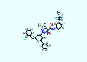 CC1=NN(c2cc(Cc3ccccc3Cl)cc(-c3ccccc3)c2)C(=O)C1C(=O)Nc1cccc(C(C)(F)F)c1